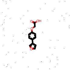 O=C(O)COc1ccc(-c2ccoc2)cc1